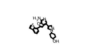 Nc1ncc(-c2cnn(C3CCC(O)CC3)c2)c2cc(-c3cccc4ccsc34)oc12